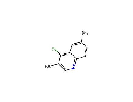 Bc1ccc2ncc(C)c(Cl)c2c1